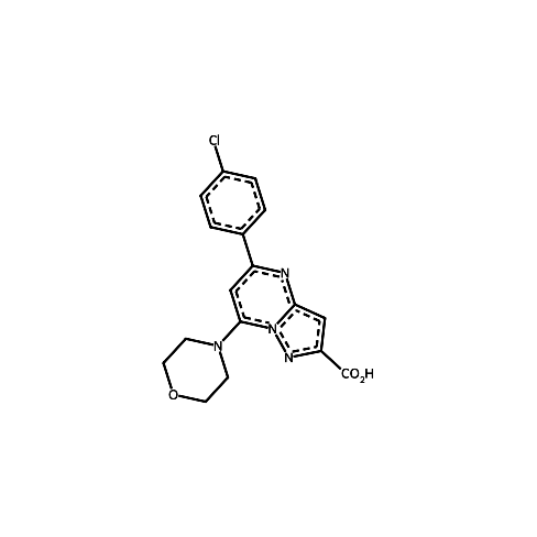 O=C(O)c1cc2nc(-c3ccc(Cl)cc3)cc(N3CCOCC3)n2n1